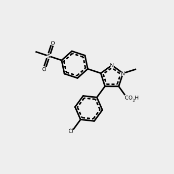 Cn1nc(-c2ccc(S(C)(=O)=O)cc2)c(-c2ccc(Cl)cc2)c1C(=O)O